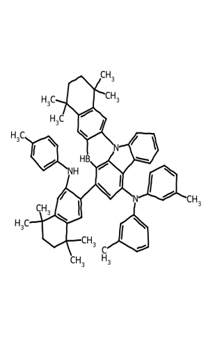 Cc1ccc(Nc2cc3c(cc2-c2cc(N(c4cccc(C)c4)c4cccc(C)c4)c4c5ccccc5n5c4c2Bc2cc4c(cc2-5)C(C)(C)CCC4(C)C)C(C)(C)CCC3(C)C)cc1